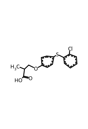 CC(COc1ccc(Sc2ccccc2Cl)cc1)C(=O)O